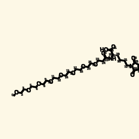 COCCOCCOCCOCCOCCOCCOCCOCCC(=O)N[C@@H](CCCCN1C(=O)C=CC1=O)C(=O)O